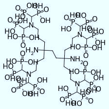 NC(CCCN(C(P(=O)(O)O)P(=O)(O)O)C(P(=O)(O)O)P(=O)(O)O)(CCCN(C(P(=O)(O)O)P(=O)(O)O)C(P(=O)(O)O)P(=O)(O)O)CCC(N)(CCCN(C(P(=O)(O)O)P(=O)(O)O)C(P(=O)(O)O)P(=O)(O)O)CCCN(C(P(=O)(O)O)P(=O)(O)O)C(P(=O)(O)O)P(=O)(O)O